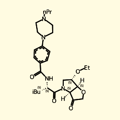 CCCN1CCN(c2ccc(C(=O)N[C@H](C(=O)N3C[C@H](OCC)[C@H]4OCC(=O)[C@H]43)[C@@H](C)CC)cc2)CC1